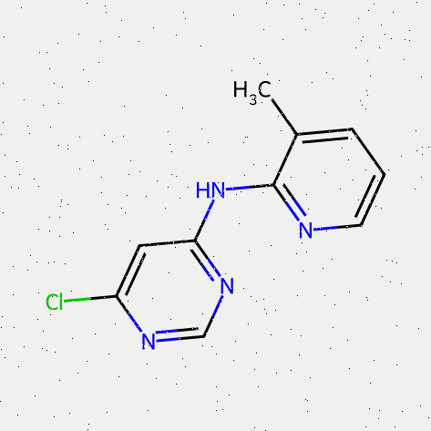 Cc1cccnc1Nc1cc(Cl)ncn1